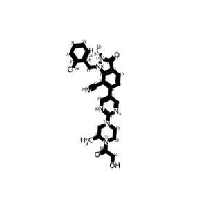 CC1CN(c2ncc(-c3ccc4c(=O)n(C)n(Cc5ccccc5Cl)c4c3C#N)cn2)CCN1C(=O)CO